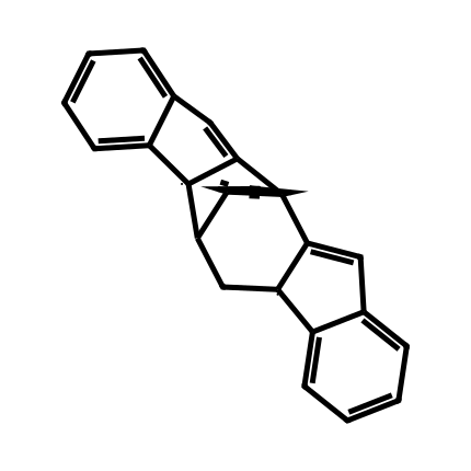 C1=CCC23C4=Cc5ccccc5[C]4CC([C]4C2=Cc2ccccc24)C3=C1